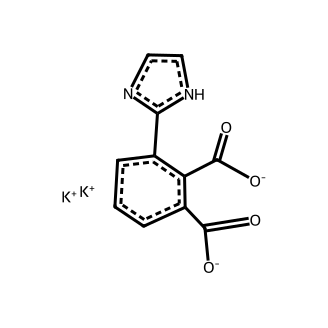 O=C([O-])c1cccc(-c2ncc[nH]2)c1C(=O)[O-].[K+].[K+]